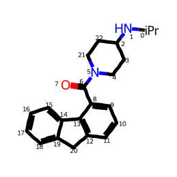 CC(C)NC1CCN(C(=O)c2cccc3c2-c2ccccc2C3)CC1